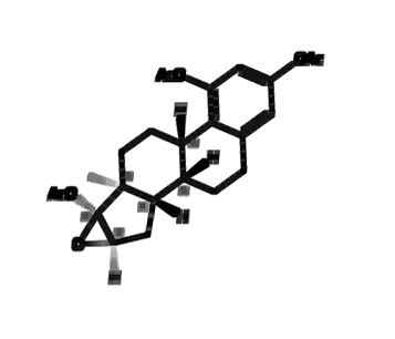 CC(=O)Oc1cc2c(c(OC(C)=O)c1)[C@H]1CC[C@@]3(C)[C@@H](C[C@H]4O[C@]43OC(C)=O)[C@H]1CC2